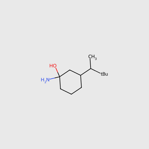 CC(C1CCCC(N)(O)C1)C(C)(C)C